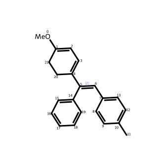 COC1=CC=C(/C(=C/c2ccc(C)cc2)c2ccccc2)CC1